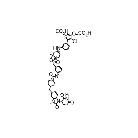 Cn1c(=O)n(C2CCC(=O)NC2=O)c2ccc(CC3CCN(C(=O)Nc4cccc(CS(=O)(=O)N5CC[C@H](Nc6cccc(-c7sc(C(=O)O)c(OCC(=O)O)c7Cl)c6)CC5(C)C)c4)CC3)cc21